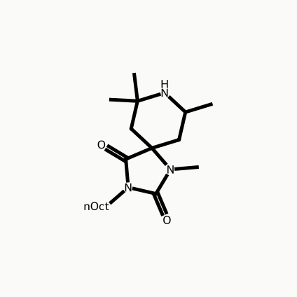 CCCCCCCCN1C(=O)N(C)C2(CC(C)NC(C)(C)C2)C1=O